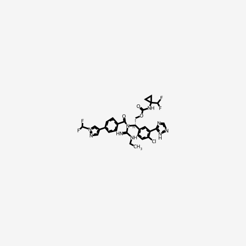 CCNC(=N)N(C(=O)c1ccc(-c2cnn(C(F)F)c2)cc1)[C@H](COC(=O)NC1(C(F)F)CC1)c1ccc(Cl)c(-c2ncn[nH]2)c1